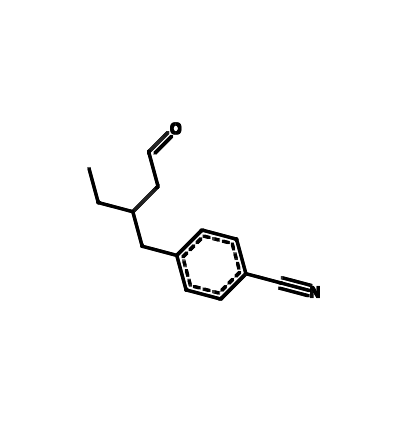 CCC(CC=O)Cc1ccc(C#N)cc1